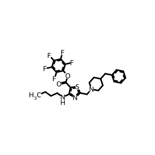 CCCCNc1nc(CN2CCC(Cc3ccccc3)CC2)sc1C(=O)Oc1c(F)c(F)c(F)c(F)c1F